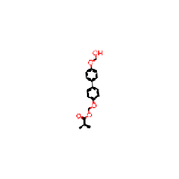 C=C(C)C(=O)OCOc1ccc(-c2ccc(OCO)cc2)cc1